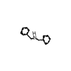 [CH](NCc1ccccc1)c1ccccc1